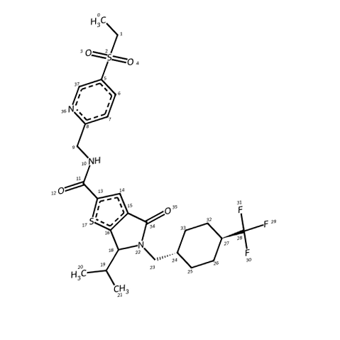 CCS(=O)(=O)c1ccc(CNC(=O)c2cc3c(s2)C(C(C)C)N(C[C@H]2CC[C@H](C(F)(F)F)CC2)C3=O)nc1